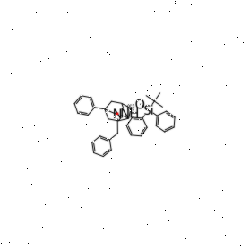 CC(C)(C)[Si](O[C@H]1C2CC3(c4ccccc4)CC(N2)C1N(Cc1ccccc1)C3)(c1ccccc1)c1ccccc1